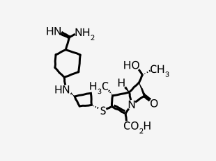 C[C@@H](O)[C@H]1C(=O)N2C(C(=O)O)=C(S[C@H]3C[C@@H](NC4CCC(C(=N)N)CC4)C3)[C@H](C)[C@H]12